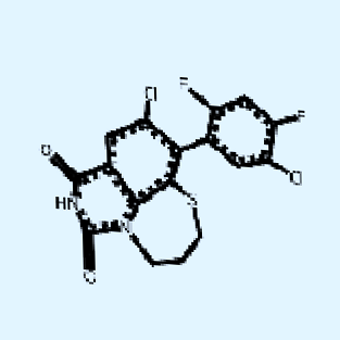 O=c1[nH]c(=O)n2c3c(c(-c4cc(Cl)c(F)cc4F)c(Cl)cc13)SCCC2